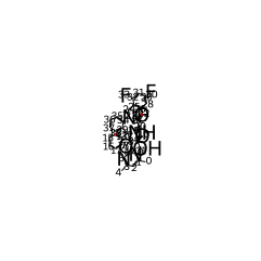 Cc1cc(C)nc(OC(C(=O)O)C2(c3ccccc3)NCC(=O)N(Cc3c(F)cc(F)cc3F)c3ccccc32)n1